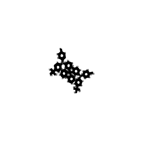 Cc1ccc(N(c2ccc(C(C)(C)C)cc2)c2ccc3c(c2)C2(c4ccccc4-c4ccccc42)c2cc(N(c4ccc(C)cc4)c4ccc(C(C)(C)C)cc4)ccc2-3)cc1